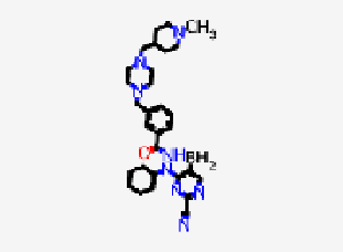 Bc1cnc(C#N)nc1N(NC(=O)c1cccc(CN2CCN(CC3CCN(C)CC3)CC2)c1)C1CCCCC1